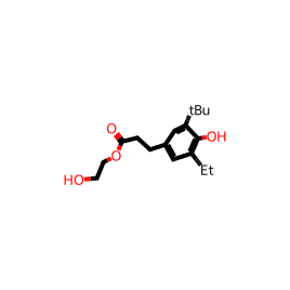 CCc1cc(CCC(=O)OCCO)cc(C(C)(C)C)c1O